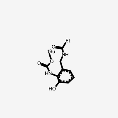 CCC(=O)NCc1cccc(O)c1NC(=O)OC(C)(C)C